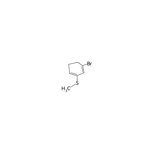 CSC1=CC[CH]C(Br)=C1